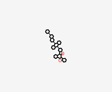 c1ccc(-c2ccc3cc(-c4c5ccccc5c(-c5ccc6oc7c(c6c5)c5ccccc5c5oc6ccccc6c57)c5ccccc45)ccc3c2)cc1